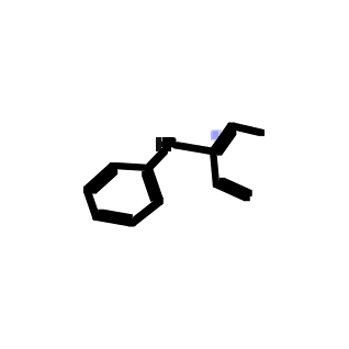 C=C/C(=C\C)Pc1ccccc1